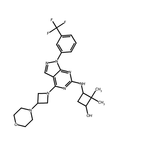 CC1(C)C(O)CC1Nc1nc(N2CC(N3CCOCC3)C2)c2cnn(-c3cccc(C(F)(F)F)c3)c2n1